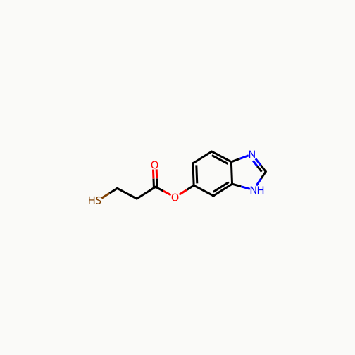 O=C(CCS)Oc1ccc2nc[nH]c2c1